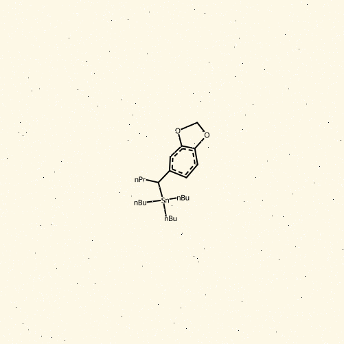 CCC[CH2][Sn]([CH2]CCC)([CH2]CCC)[CH](CCC)c1ccc2c(c1)OCO2